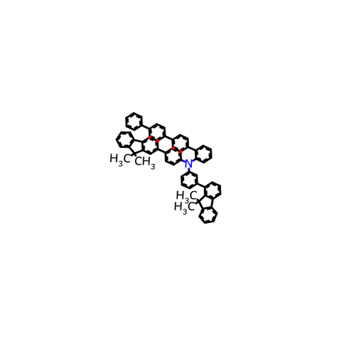 CC1(C)c2ccccc2-c2ccc(-c3ccc(N(c4cccc(-c5cccc6c5C(C)(C)c5ccccc5-6)c4)c4ccccc4-c4ccc(-c5ccc(-c6ccccc6)cc5)cc4)cc3)cc21